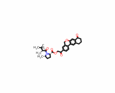 CC(C)[C@H](C)C(=O)N1[C@@H](C)CC[C@H]1C(=O)OCC(=O)c1ccc2c(c1)COc1cc3c(cc1-2)CCCC3=O